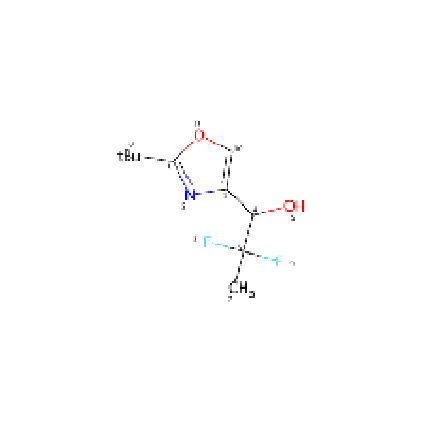 CC(C)(C)c1nc(C(O)C(C)(F)F)co1